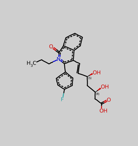 CCCn1c(-c2ccc(F)cc2)c(C=C[C@@H](O)C[C@@H](O)CC(=O)O)c2ccccc2c1=O